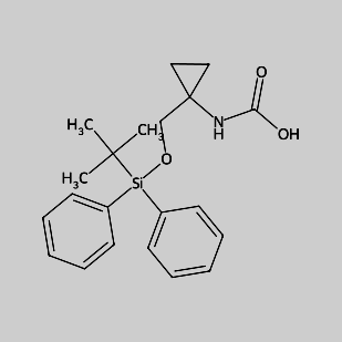 CC(C)(C)[Si](OCC1(NC(=O)O)CC1)(c1ccccc1)c1ccccc1